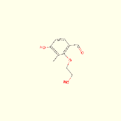 Cc1c(O)ccc(C=O)c1OCCO